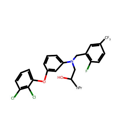 CCCC(O)CN(Cc1cc(C(F)(F)F)ccc1F)c1cccc(Oc2cccc(Cl)c2Cl)c1